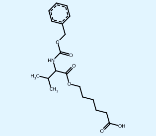 CC(C)C(NC(=O)OCc1ccccc1)C(=O)OCCCCCC(=O)O